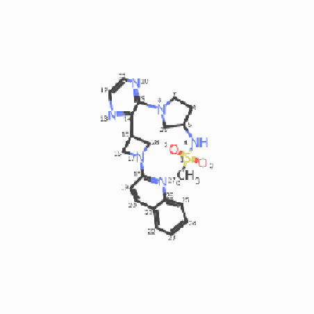 CS(=O)(=O)NC1CCN(c2nccnc2C2CN(c3ccc4ccccc4n3)C2)C1